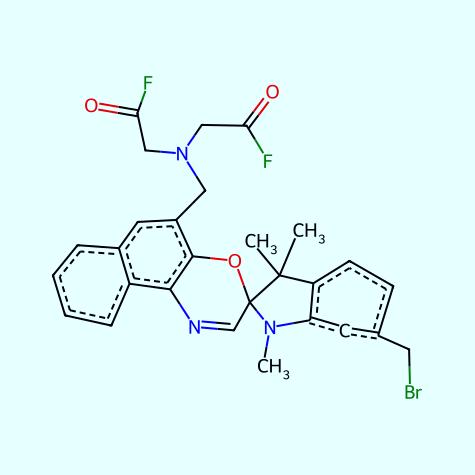 CN1c2cc(CBr)ccc2C(C)(C)C12C=Nc1c(c(CN(CC(=O)F)CC(=O)F)cc3ccccc13)O2